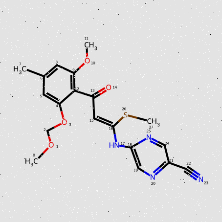 COCOc1cc(C)cc(OC)c1C(=O)/C=C(/Nc1cnc(C#N)cn1)SC